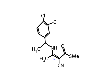 CSC(=O)/C(C#N)=C(/C)NC(C)c1ccc(Cl)c(Cl)c1